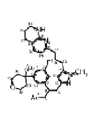 CCCC1(c2cc(F)cc(C(CC(C)=O)Cc3cc(CCCc4ccc5c(n4)NCCC5)n(C)n3)c2)CCOCC1